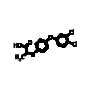 CC(Oc1ccc(Oc2ccc(Cl)c(Cl)c2)cc1)C(=O)O